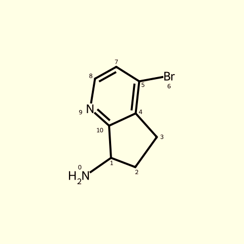 NC1CCc2c(Br)ccnc21